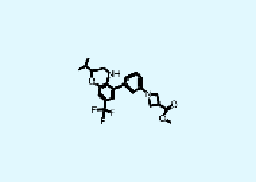 COC(=O)C1CN(c2cccc(-c3cc(C(F)(F)F)cc4c3NCC(C(C)C)O4)c2)C1